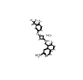 Cl.Nc1cc2c(CNC3CC(Oc4ccc(F)c(C(F)(F)F)c4)C3)c(F)ccc2cn1